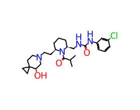 CC(C)C(=O)N1[C@@H](CCN2CCC3(CC3)[C@H](O)C2)CCC[C@H]1CNC(=O)Nc1cccc(Cl)c1